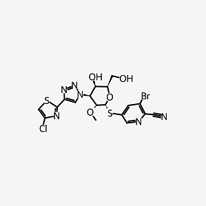 CO[C@@H]1[C@@H](n2cc(-c3nc(Cl)cs3)nn2)[C@@H](O)[C@@H](CO)O[C@@H]1Sc1cnc(C#N)c(Br)c1